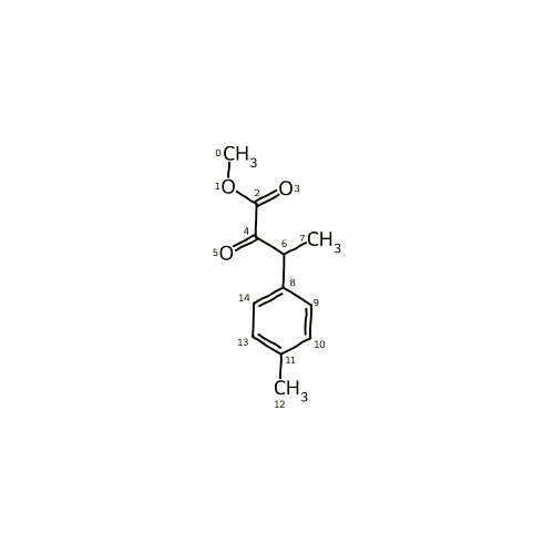 COC(=O)C(=O)C(C)c1ccc(C)cc1